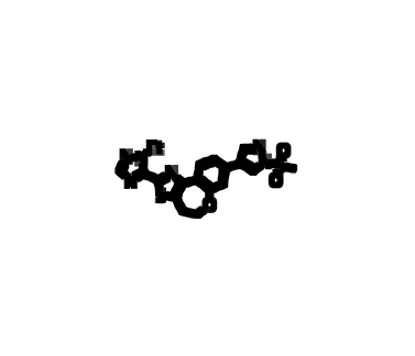 CCn1ncnc1-c1nc2c(s1)CCOc1cc(-c3cnn(S(C)(=O)=O)c3)ccc1-2